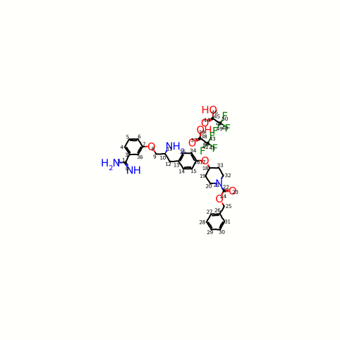 N=C(N)c1cccc(OC[C@@H](N)Cc2ccc(OC3CCN(C(=O)OCc4ccccc4)CC3)cc2)c1.O=C(O)C(F)(F)F.O=C(O)C(F)(F)F